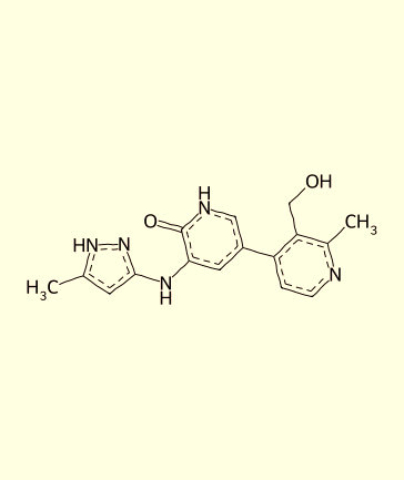 Cc1cc(Nc2cc(-c3ccnc(C)c3CO)c[nH]c2=O)n[nH]1